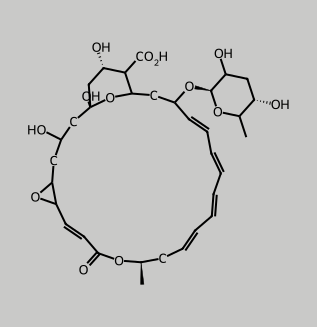 CC1O[C@@H](OC2/C=C/C=C/C=C/C=C/C[C@@H](C)OC(=O)/C=C/C3OC3CC(O)CC3(O)C[C@H](O)C(C(=O)O)C(C2)O3)C(O)C[C@@H]1O